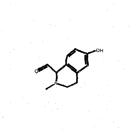 CN1CCc2cc(O)ccc2C1C=O